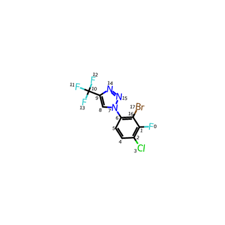 Fc1c(Cl)ccc(-n2cc(C(F)(F)F)nn2)c1Br